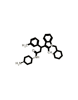 Cc1cccc(C(CC(=O)N[C@H]2CC[C@H](N)CC2)c2c(C)n(CC3CCCCC3)c3ccccc23)c1